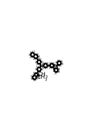 CC1(C)C(c2ccc(N(c3ccc(-c4ccc5ccccc5c4)cc3)c3ccc(-c4ccc5c(c4)c4ccccc4n5-c4ccccc4)cc3)cc2)=Cc2ccccc21